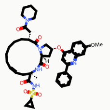 COc1ccc2c(O[C@@H]3C[C@H]4C(=O)N[C@@](C)(C(=O)NS(=O)(=O)C5CC5)C/C=C\CCCCC[C@H](CC(=O)N5CCCCC5)C(=O)N4C3)cc(-c3ccccc3)nc2c1